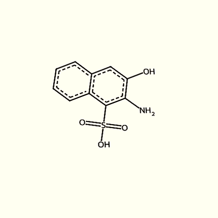 Nc1c(O)cc2ccccc2c1S(=O)(=O)O